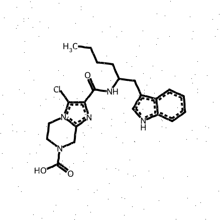 CCCCC(Cc1c[nH]c2ccccc12)NC(=O)c1nc2n(c1Cl)CCN(C(=O)O)C2